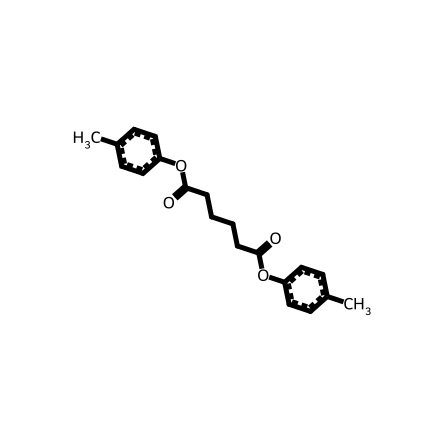 Cc1ccc(OC(=O)CCCCC(=O)Oc2ccc(C)cc2)cc1